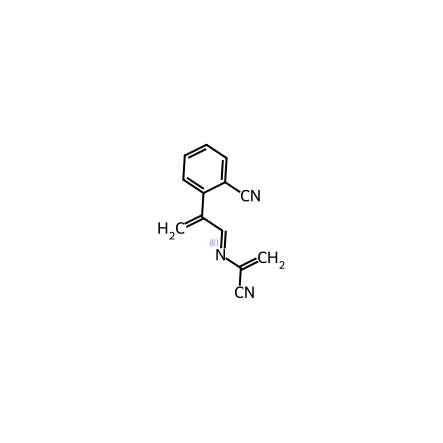 C=C(C#N)/N=C/C(=C)c1ccccc1C#N